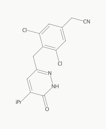 CC(C)c1cc(Cc2c(Cl)cc(CC#N)cc2Cl)n[nH]c1=O